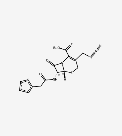 CC(C)COC(=O)C1=C(CN=[N+]=[N-])CS[C@@H]2[C@H](NC(=O)Cc3cccs3)C(=O)N12